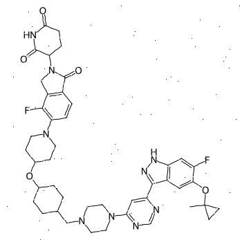 CC1(Oc2cc3c(-c4cc(N5CCN(CC6CCC(OC7CCN(c8ccc9c(c8F)CN(C8CCC(=O)NC8=O)C9=O)CC7)CC6)CC5)ncn4)n[nH]c3cc2F)CC1